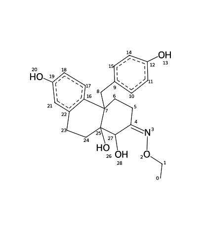 CCON=C1CCC2(Cc3ccc(O)cc3)c3ccc(O)cc3CCC2(O)C1O